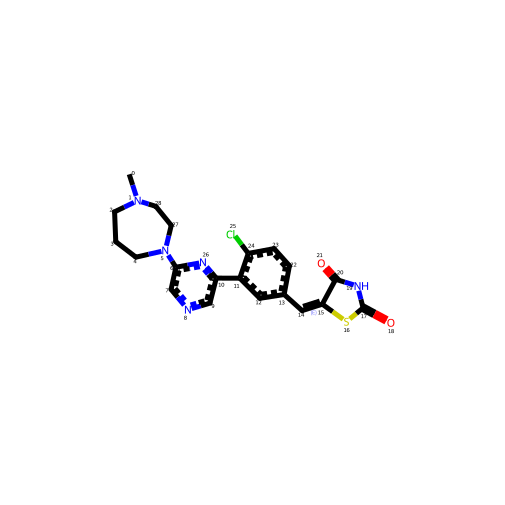 CN1CCCN(c2cncc(-c3cc(/C=C4/SC(=O)NC4=O)ccc3Cl)n2)CC1